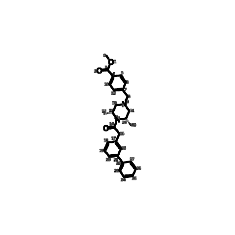 COC(=O)c1ccc(CN2C[C@@H](C)N(C(=O)Cc3cccc(-c4ccccc4)c3)[C@@H](C)C2)cc1